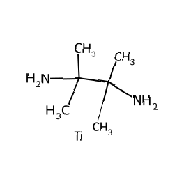 CC(C)(N)C(C)(C)N.[Ti]